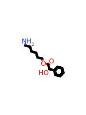 NCCCCCCOC(=O)[C@H](O)c1ccccc1